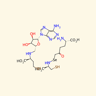 N[C@@H](CCC(=O)C[Se]N[C@@H](CS)C(=O)O)C(=O)O.Nc1ncnc2c1ncn2[C@@H]1O[C@H](CN[C@@H](CCS)C(=O)O)[C@@H](O)[C@H]1O